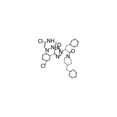 N/C(Cl)=C\N(N)c1ccc(Cl)cc1-c1cc(=O)n(C(Cc2ccccc2)C(=O)N2CCC(Cc3ccccc3)CC2)cn1